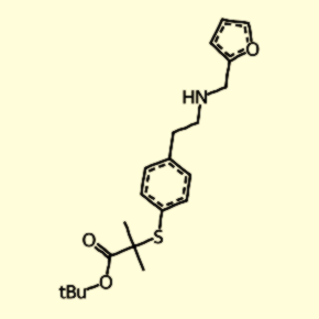 CC(C)(C)OC(=O)C(C)(C)Sc1ccc(CCNCc2ccco2)cc1